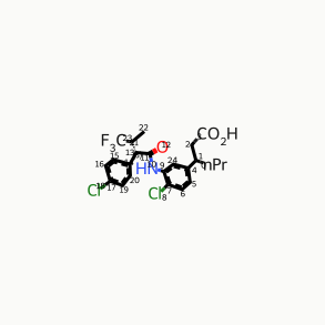 CCCC(CC(=O)O)c1ccc(Cl)c(NC(=O)[C@H](c2ccc(Cl)cc2)C(C)C(F)(F)F)c1